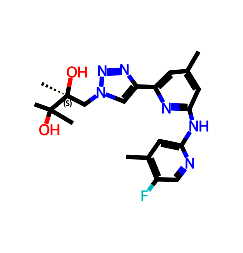 Cc1cc(Nc2cc(C)c(F)cn2)nc(-c2cn(C[C@](C)(O)C(C)(C)O)nn2)c1